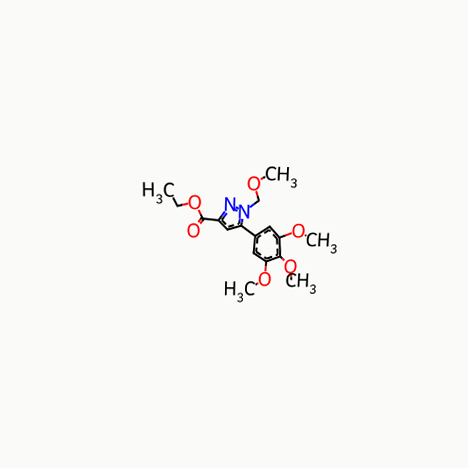 CCOC(=O)c1cc(-c2cc(OC)c(OC)c(OC)c2)n(COC)n1